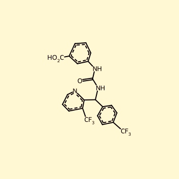 O=C(Nc1cccc(C(=O)O)c1)NC(c1ccc(C(F)(F)F)cc1)c1ncccc1C(F)(F)F